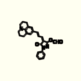 O=COC1=NN(c2ccccc2)C(=O)/C1=C\C=C\c1cc2c3c(c1)CCCN3CCC2